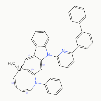 C\C=c1/c(=C\C2=C\C(C)/C=C\C=C/N2c2ccccc2)n(-c2cccc(-c3cccc(-c4ccccc4)c3)n2)c2ccccc12